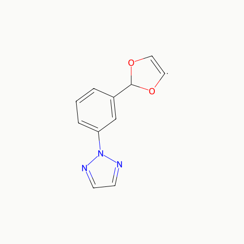 [C]1=COC(c2cccc(-n3nccn3)c2)O1